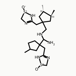 CC1CCC(CC2=NC[S+]([O-])N2)(C(N)NCC2(CC3=NC[S+]([O-])N3)C[C@H](C)[C@@H](C)C2)C1